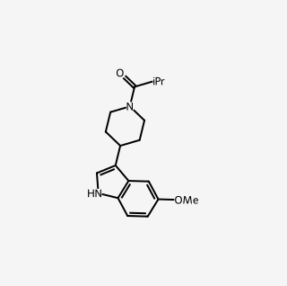 COc1ccc2[nH]cc(C3CCN(C(=O)C(C)C)CC3)c2c1